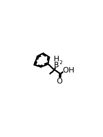 BC(C)(C(=O)O)c1ccccc1